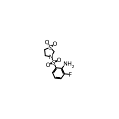 Nc1c(F)cccc1S(=O)(=O)N1CCS(=O)(=O)C1